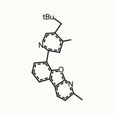 Cc1ccc2c(n1)oc1c(-c3cc(C)c(CC(C)(C)C)cn3)cccc12